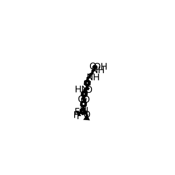 O=C(O)NCCCNCc1ccc(C(=O)Nc2ccc(S(=O)(=O)N3CCN(c4cc(C(F)(F)F)cc(OC5CC5)n4)CC3)cc2)cc1